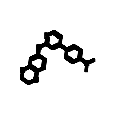 CN(C)c1ccc(-c2ccnc(Oc3ccc4c(c3)OCCO4)c2)cc1